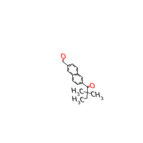 CCC(C)(C)C(=O)c1ccc2cc(C=O)ccc2c1